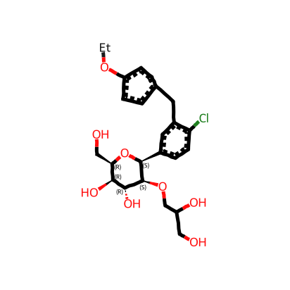 CCOc1ccc(Cc2cc([C@@H]3O[C@H](CO)[C@H](O)[C@@H](O)[C@@H]3OCC(O)CO)ccc2Cl)cc1